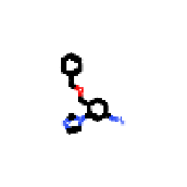 NC1C=C(n2ccnc2)C(COCc2ccccc2)CC1